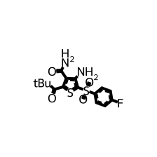 CC(C)(C)C(=O)c1sc(S(=O)(=O)c2ccc(F)cc2)c(N)c1C(N)=O